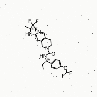 CC[C@@H](NC(=O)N1CCc2cnc(N[C@@H](C)C(F)(F)F)nc2C1)c1ccc(OC(F)F)cc1